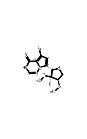 CCCCO[C@@H]1CO[C@@H](c2cc(Br)c3c(=O)[nH]cnn23)[C@]1(C)OCCCC